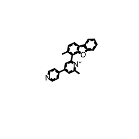 Cc1ccc2c(oc3ccccc32)c1-c1cc(-c2ccncc2)cc(C)[n+]1C